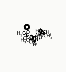 C[C@H](Oc1ccccc1)C(=O)N1Cc2c(NC(=O)C3([Si](C)(C)C)CCC3)n[nH]c2C1(C)C